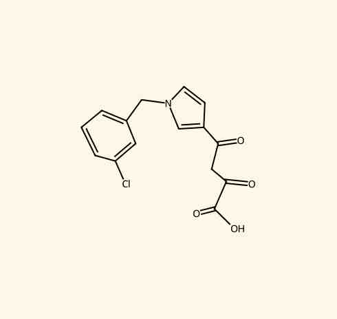 O=C(O)C(=O)CC(=O)c1ccn(Cc2cccc(Cl)c2)c1